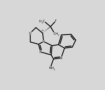 CC(C)(F)[C@H]1COCc2nc3c(N)nc4ccccc4c3n21